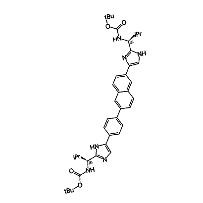 CC(C)[C@H](NC(=O)OC(C)(C)C)c1nc(-c2ccc3cc(-c4ccc(-c5cnc([C@@H](NC(=O)OC(C)(C)C)C(C)C)[nH]5)cc4)ccc3c2)c[nH]1